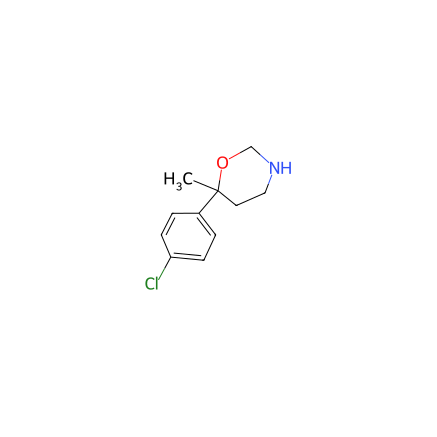 CC1(c2ccc(Cl)cc2)CCNCO1